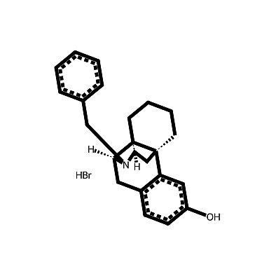 Br.Oc1ccc2c(c1)[C@]13CCCC[C@@H]1[C@H](C2)N(Cc1ccccc1)CC3